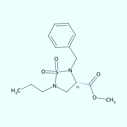 CCCN1C[C@@H](C(=O)OC)N(Cc2ccccc2)S1(=O)=O